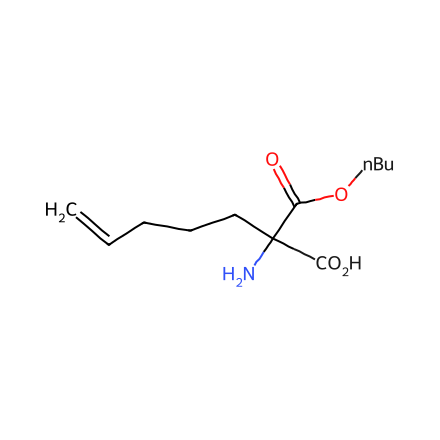 C=CCCCC(N)(C(=O)O)C(=O)OCCCC